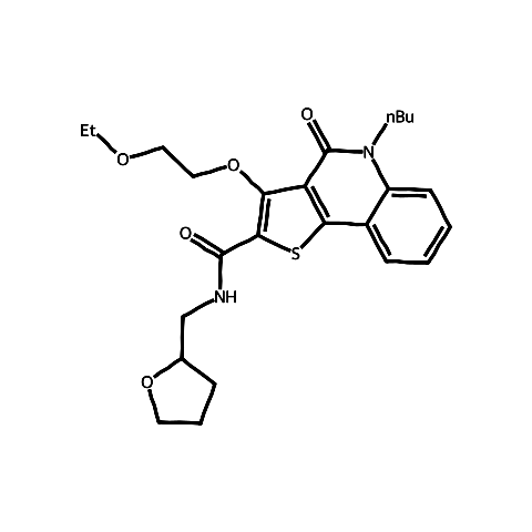 CCCCn1c(=O)c2c(OCCOCC)c(C(=O)NCC3CCCO3)sc2c2ccccc21